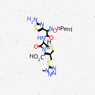 CCCCCO/N=C(\C(=O)NC1C(=O)N2C(C(=O)O)=C(CSc3nnnn3C)CS[C@H]12)c1csc(N)n1